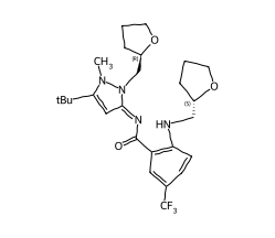 Cn1c(C(C)(C)C)cc(=NC(=O)c2cc(C(F)(F)F)ccc2NC[C@@H]2CCCO2)n1C[C@H]1CCCO1